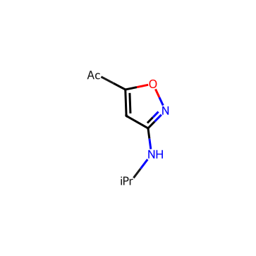 CC(=O)c1cc(NC(C)C)no1